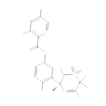 CC1(C)C(N)=N[C@](C)(c2cc(NC(=O)c3ncc(Cl)cc3F)ccc2F)C(F)S1(=O)=O